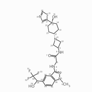 Cn1nc(NCC(=O)NC2CN([C@H]3CC[C@@](O)(c4cncs4)CC3)C2)c2cc(C(O)C(F)(F)F)ccc21